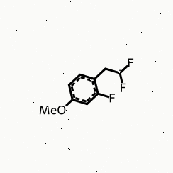 COc1ccc(C[C](F)F)c(F)c1